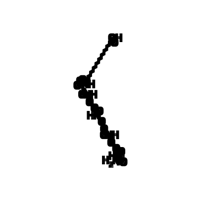 CC(N)C(=O)[C@H](C)NC(=O)COCCOCCNC(=O)COCCOCCNC(=O)COCCOCCNC(=O)CC[C@H](NC(=O)CCCCCCCCCCCCCCCCCCC(=O)O)C(=O)O